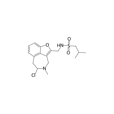 CC(C)CS(=O)(=O)NCc1oc2cccc3c2c1CN(C)C(Cl)C3